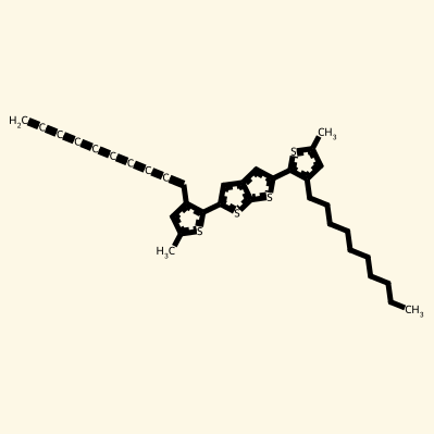 C=C=C=C=C=C=C=C=C=Cc1cc(C)sc1-c1cc2cc(-c3sc(C)cc3CCCCCCCCCC)sc2s1